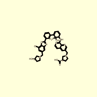 CC1(C)C(c2cccc(-c3nc4cc(CN5CC[C@@H](O)C5)cc(Cl)c4o3)c2)=CC=CC1Nc1nccc2cc(CN3CC[C@@H](C(=O)O)C3)cnc12